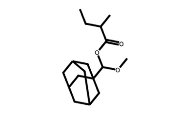 CCC(C)C(=O)OC(OC)C12CC3CC(CC(C3)C1)C2